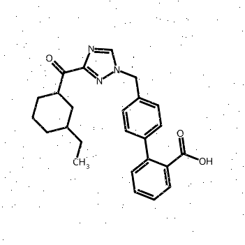 CCC1CCCC(C(=O)c2ncn(Cc3ccc(-c4ccccc4C(=O)O)cc3)n2)C1